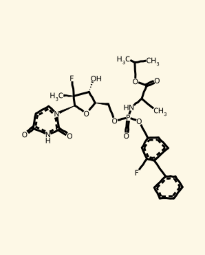 CC(C)OC(=O)C(C)NP(=O)(OC[C@H]1O[C@@H](n2ccc(=O)[nH]c2=O)[C@](C)(F)[C@@H]1O)Oc1ccc(-c2ccccc2)c(F)c1